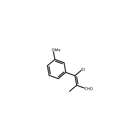 CC/C(=C(/C)C=O)c1cccc(OC)c1